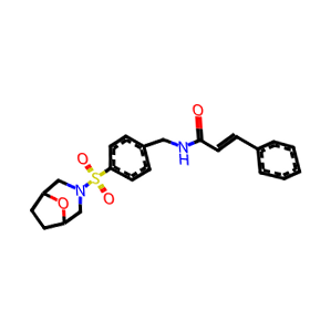 O=C(/C=C/c1ccccc1)NCc1ccc(S(=O)(=O)N2CC3CCC(C2)O3)cc1